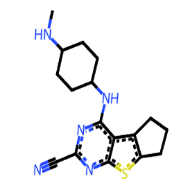 CNC1CCC(Nc2nc(C#N)nc3sc4c(c23)CCC4)CC1